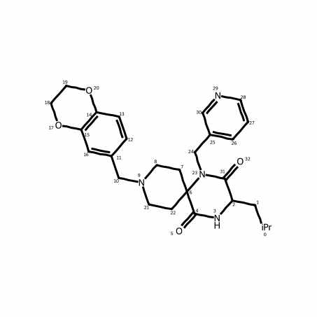 CC(C)CC1NC(=O)C2(CCN(Cc3ccc4c(c3)OCCO4)CC2)N(Cc2cccnc2)C1=O